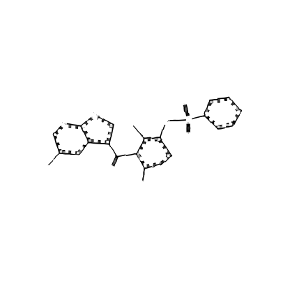 O=C(c1c(F)ccc(NS(=O)(=O)c2ccccc2)c1F)c1c[nH]c2ncc(F)cc12